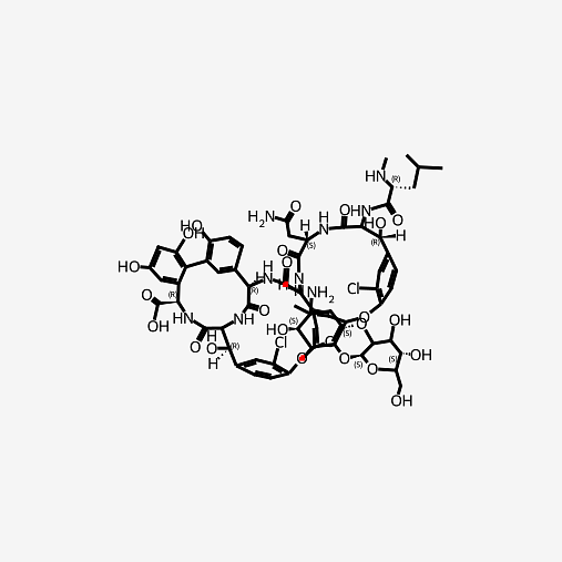 CN[C@H](CC(C)C)C(=O)NC1C(=O)N[C@@H](CC(N)=O)C(=O)N[C@H]2C(=O)N[C@H]3C(=O)NC(C(=O)N[C@@H](C(=O)O)c4cc(O)cc(O)c4-c4cc3ccc4O)[C@H](O)c3ccc(c(Cl)c3)Oc3cc2cc(c3O[C@@H]2OC(CO)[C@@H](O)C(O)C2O[C@H]2CC(C)(N)[C@H](O)C(C)O2)Oc2ccc(cc2Cl)[C@H]1O